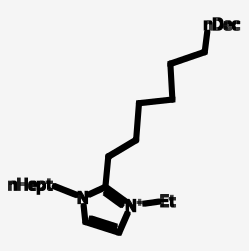 CCCCCCCCCCCCCCCCc1n(CCCCCCC)cc[n+]1CC